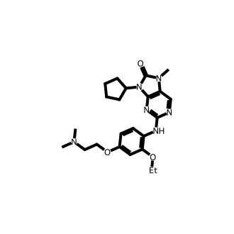 CCOc1cc(OCCN(C)C)ccc1Nc1ncc2c(n1)n(C1CCCC1)c(=O)n2C